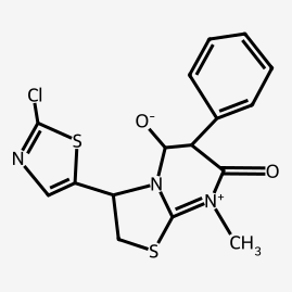 C[N+]1=C2SCC(c3cnc(Cl)s3)N2C([O-])C(c2ccccc2)C1=O